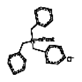 CCCCC[N+](Cc1ccccc1)(Cc1ccccc1)Cc1ccccc1.[Cl-]